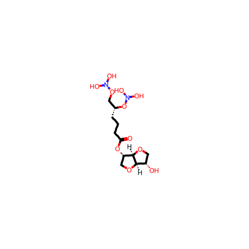 O=C(CCC[C@H](CON(O)O)ON(O)O)O[C@H]1CO[C@H]2[C@@H]1OC[C@@H]2O